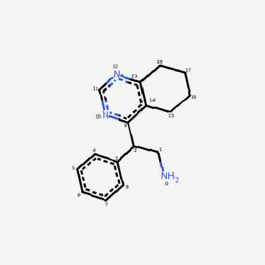 NCC(c1ccccc1)c1ncnc2c1CCCC2